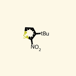 CC(C)(C)c1ccsc1[N+](=O)[O-]